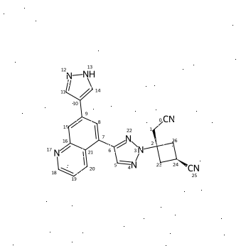 N#CC[C@]1(n2ncc(-c3cc(-c4cn[nH]c4)cc4ncccc34)n2)C[C@H](C#N)C1